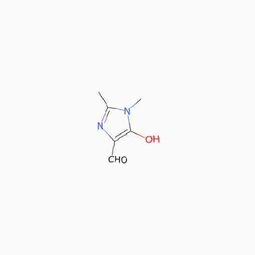 Cc1nc(C=O)c(O)n1C